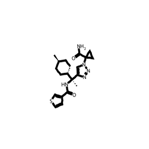 C[C@@](NC(=O)c1ccsc1)(c1cn(C2(C(N)=O)CC2)nn1)[C@H]1CC[C@H](C)CC1